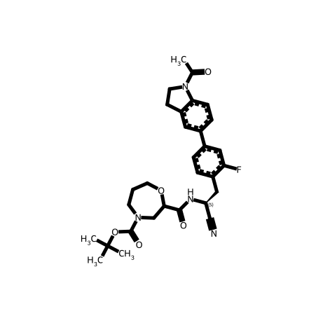 CC(=O)N1CCc2cc(-c3ccc(C[C@@H](C#N)NC(=O)C4CN(C(=O)OC(C)(C)C)CCCO4)c(F)c3)ccc21